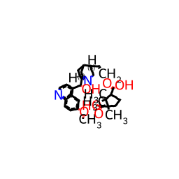 C=C[C@@H]1CN2CCC1C[C@@H]2C(O)c1ccnc2ccc(OC)cc12.CC1(C(=O)O)CCC(C(=O)O)C1(C)C